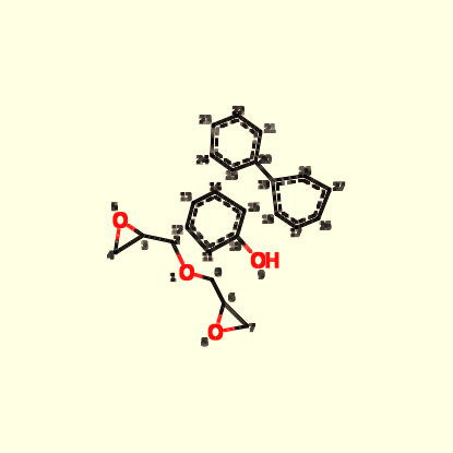 C(OCC1CO1)C1CO1.Oc1ccccc1.c1ccc(-c2ccccc2)cc1